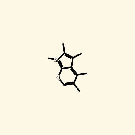 Cc1coc2[si](C)c(C)c(C)c-2c1C